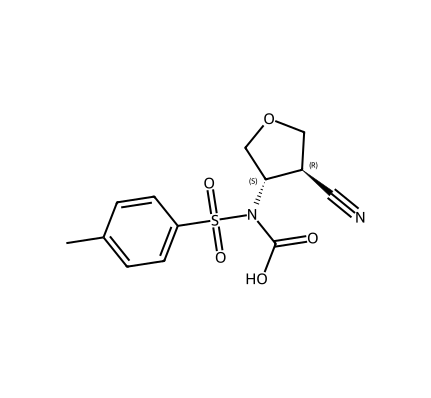 Cc1ccc(S(=O)(=O)N(C(=O)O)[C@@H]2COC[C@H]2C#N)cc1